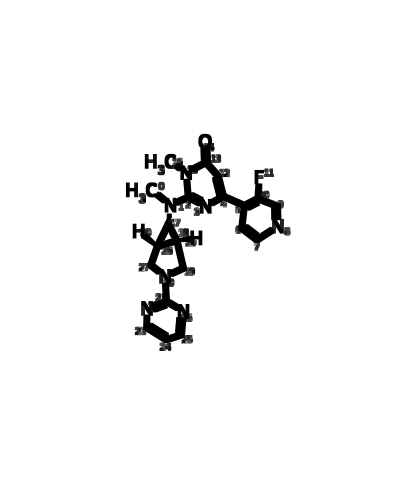 CN(c1nc(-c2ccncc2F)cc(=O)n1C)[C@@H]1[C@@H]2CN(c3ncccn3)C[C@@H]21